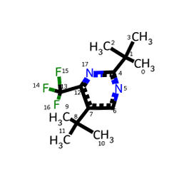 CC(C)(C)c1ncc(C(C)(C)C)c(C(F)(F)F)n1